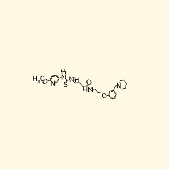 COc1ccc(NC(=S)NCCCC(=O)NCCCOc2cccc(CN3CCCCC3)c2)cn1